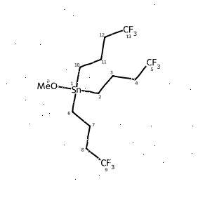 C[O][Sn]([CH2]CCC(F)(F)F)([CH2]CCC(F)(F)F)[CH2]CCC(F)(F)F